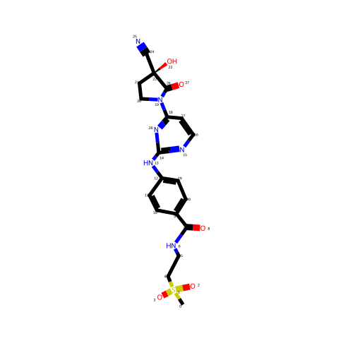 CS(=O)(=O)CCNC(=O)c1ccc(Nc2nccc(N3CC[C@](O)(C#N)C3=O)n2)cc1